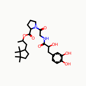 CC(CC1CCC(C)(C)C1(C)C)OC(=O)C1CCCN1C(=O)CNC(=O)C(O)Cc1ccc(O)c(O)c1